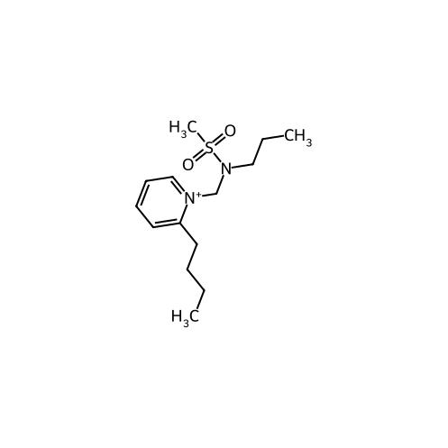 CCCCc1cccc[n+]1CN(CCC)S(C)(=O)=O